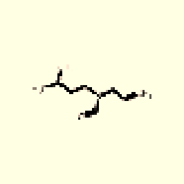 C=CCN(C=O)CCC(C)C